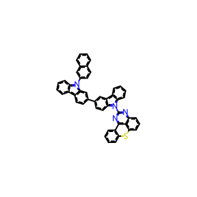 c1ccc2c(c1)Sc1cccc3nc(-n4c5ccccc5c5cc(-c6ccc7c8ccccc8n(-c8ccc9ccccc9c8)c7c6)ccc54)nc-2c13